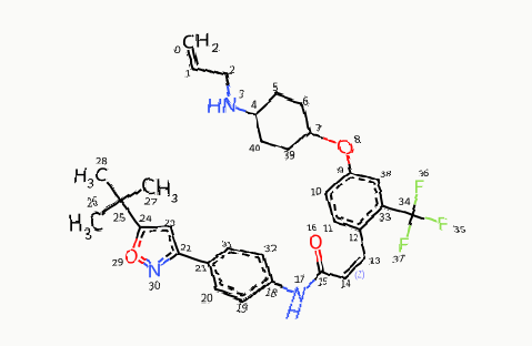 C=CCNC1CCC(Oc2ccc(/C=C\C(=O)Nc3ccc(-c4cc(C(C)(C)C)on4)cc3)c(C(F)(F)F)c2)CC1